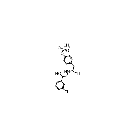 CC(Cc1ccc(OS(C)(=O)=O)cc1)NCC(O)c1cccc(Cl)c1